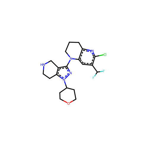 FC(F)c1cc2c(nc1Cl)CCCN2c1nn(C2CCOCC2)c2c1CNCC2